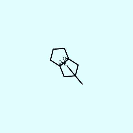 CB1OC23CCCC2(CCC3)O1